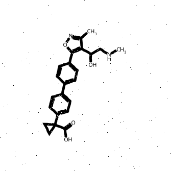 CNCC(O)c1c(C)noc1-c1ccc(-c2ccc(C3(C(=O)O)CC3)cc2)cc1